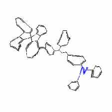 c1ccc(C(CCc2ccc(N(c3ccccc3)c3ccccc3)cc2)c2ccc(-c3cccc4c3-c3ccccc3C43c4ccccc4-c4ccccc43)cc2)cc1